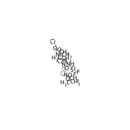 C[C@H](N(CC(=O)OCc1ccccc1)Cc1ccc2c(c1)nc(NC(=O)c1ccc(C(F)F)s1)n2[C@H]1C[C@]2(CCCN(C(=O)OC(C)(C)C)C2)C1)C(C)(C)C